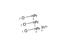 CCC[O-].CCC[O-].CCC[O-].[In+3]